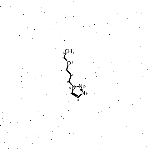 CCOCCCn1ccnn1